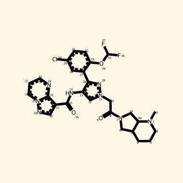 CN1CCCC2CN(C(=O)Cn3cc(NC(=O)c4cnn5cccnc45)c(-c4cc(Cl)ccc4OC(F)F)n3)CC21